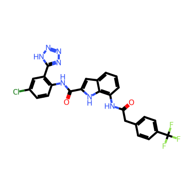 O=C(Cc1ccc(C(F)(F)F)cc1)Nc1cccc2cc(C(=O)Nc3ccc(Cl)cc3-c3nnn[nH]3)[nH]c12